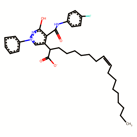 CCCCCCCC/C=C\CCCCCCC(C(=O)[O-])c1c[n+](-c2ccccc2)nc(O)c1C(=O)Nc1ccc(F)cc1